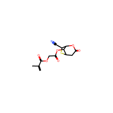 C=C(C)C(=O)OCC(=O)OC1C2CC(=O)OC1C(C#N)S2